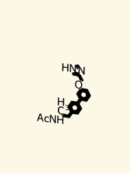 CC(=O)NC(C)Cc1ccc(-c2cccc(OCc3c[nH]cn3)c2)cc1